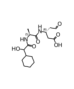 C[C@H](NC(=O)C(O)C1CCCCC1)C(=O)N[C@H](CC=O)CC(=O)O